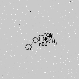 CCCC[Si](C)(C)NC(CO)Cc1ccc(-c2ccccc2)cc1